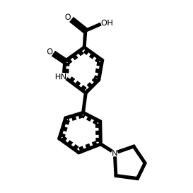 O=C(O)c1ccc(-c2cccc(N3CCCC3)c2)[nH]c1=O